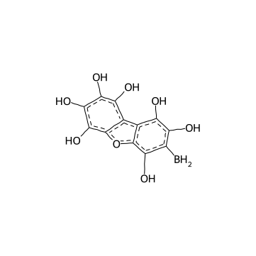 Bc1c(O)c(O)c2c(oc3c(O)c(O)c(O)c(O)c32)c1O